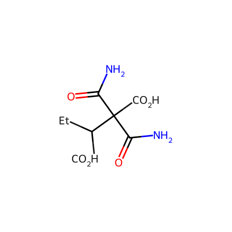 CCC(C(=O)O)C(C(N)=O)(C(N)=O)C(=O)O